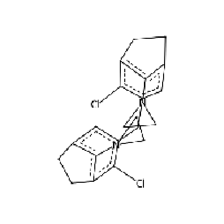 Clc1c(Cc2cc3c(N4CC4)c(c2Cl)CC3)cc2c(N3CC3)c1CC2